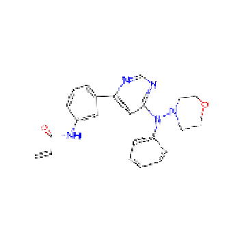 C=CC(=O)Nc1cccc(-c2cc(N(c3ccccc3)N3CCOCC3)ncn2)c1